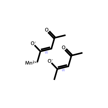 CC(=O)/C=C(/C)[O-].CC(=O)/C=C(/C)[O-].[Mn+2]